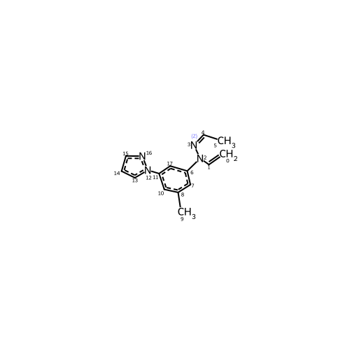 C=CN(/N=C\C)c1cc(C)cc(-n2cccn2)c1